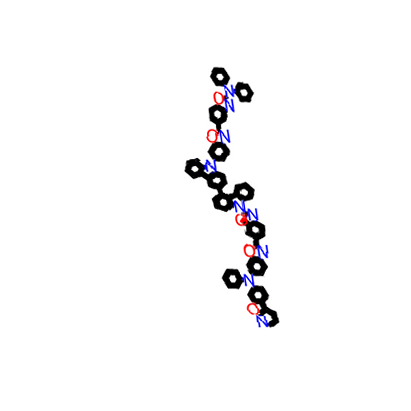 c1ccc(N(c2ccc3nc(-c4ccc5nc(-n6c7ccccc7c7c(-c8ccc9c(c8)c8ccccc8n9-c8ccc9nc(-c%10ccc%11oc(N(c%12ccccc%12)c%12ccccc%12)nc%11c%10)oc9c8)cccc76)oc5c4)oc3c2)c2ccc3c(c2)oc2ncccc23)cc1